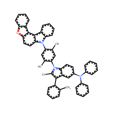 CCc1c(-c2ccccc2C)c2cc(N(c3ccccc3)c3ccccc3)ccc2n1-c1cc(C#N)c(-n2c3ccccc3c3c4c(ccc32)oc2ccccc24)cc1C#N